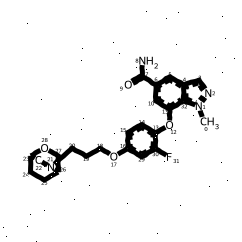 Cn1ncc2cc(C(N)=O)cc(Oc3ccc(OCCCN4CC5CCC4CO5)cc3F)c21